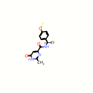 CC[C@@H](NC(=O)c1cc(=O)[nH]c(C)n1)c1ccc(OF)cc1